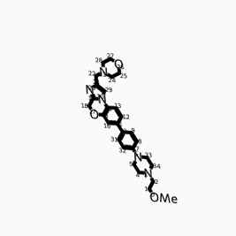 COCCN1CCN(c2ccc(-c3ccc4c(c3)OCc3nc(CN5CCOCC5)cn3-4)cc2)CC1